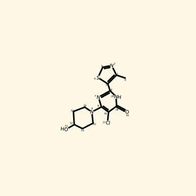 Cc1ncsc1-c1nc(N2CCC(O)CC2)c(Cl)c(=O)[nH]1